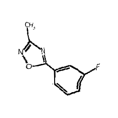 Cc1noc(-c2[c]ccc(F)c2)n1